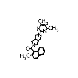 Cc1cc(C)nc(N2CC3CN(C(=O)c4c(C)ccc5ccccc45)CC3C2)n1